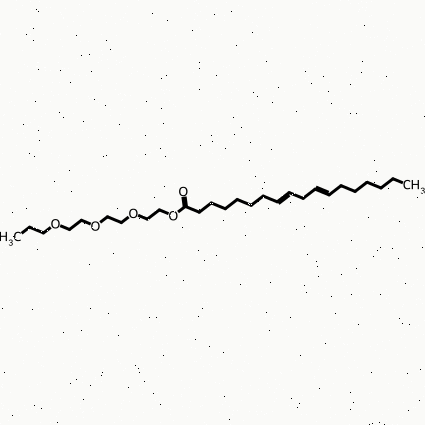 CCCCCC/C=C/C/C=C/CCCCCCC(=O)OCCOCCOCCOCCC